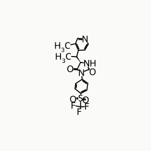 Cc1cnccc1C(C)[C@H]1NC(=O)N(c2ccc(S(=O)(=O)C(F)(F)F)cc2)C1=O